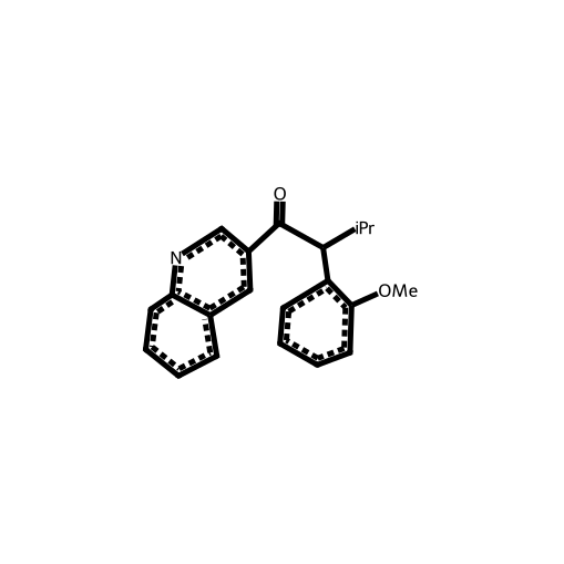 COc1ccccc1C(C(=O)c1cnc2ccccc2c1)C(C)C